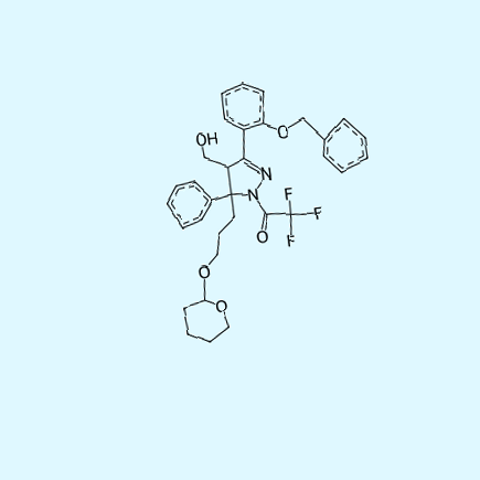 O=C(N1N=C(c2ccccc2OCc2ccccc2)C(CO)C1(CCCOC1CCCCO1)c1ccccc1)C(F)(F)F